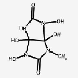 CN1C(=O)N(O)C2(O)NC(=O)N(O)C12O